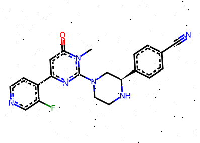 Cn1c(N2CCN[C@H](c3ccc(C#N)cc3)C2)nc(-c2ccncc2F)cc1=O